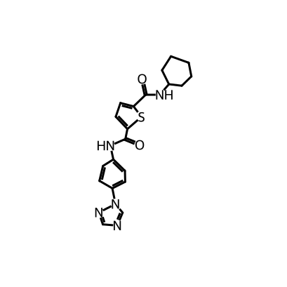 O=C(Nc1ccc(-n2cncn2)cc1)c1ccc(C(=O)NC2CCCCC2)s1